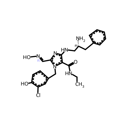 CCNC(=O)c1c(NC[C@H](N)Cc2ccccc2)nc(/C=N/O)n1Cc1ccc(O)c(Cl)c1